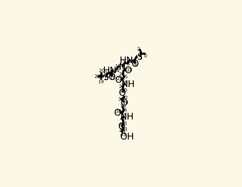 CC(C)SCC(=O)NCCN(CCNC(=O)CSC(C)(C)C)C(=O)CCC(=O)NCCOCCOCCC(=O)NCCOCCO